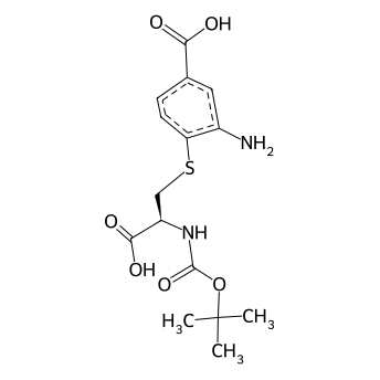 CC(C)(C)OC(=O)N[C@H](CSc1ccc(C(=O)O)cc1N)C(=O)O